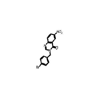 O=c1c2cc([N+](=O)[O-])ccc2ncn1Cc1ccc(Br)cc1